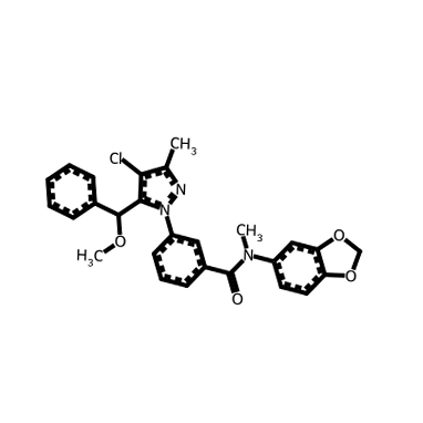 COC(c1ccccc1)c1c(Cl)c(C)nn1-c1cccc(C(=O)N(C)c2ccc3c(c2)OCO3)c1